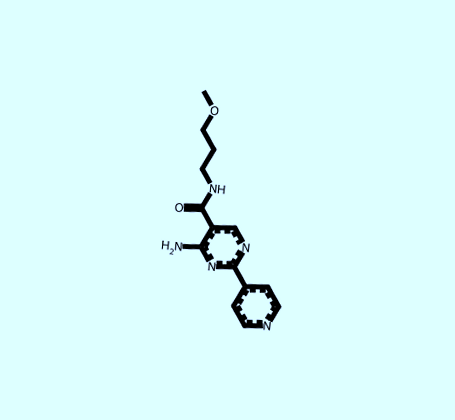 COCCCNC(=O)c1cnc(-c2ccncc2)nc1N